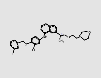 C/C(=N\OCCN1CCOCC1)c1ccc2ncnc(Nc3ccc(OCc4cccc(F)c4)c(Cl)c3)c2c1